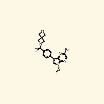 O=C(c1ccc(-c2cn(SI)c3ncc(Br)nc23)cc1)N1CC2(COC2)C1